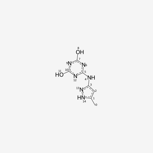 Cc1cc(Nc2nc(O)nc(O)n2)n[nH]1